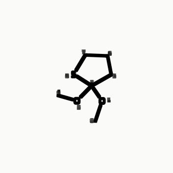 COC1(OC)CCCS1